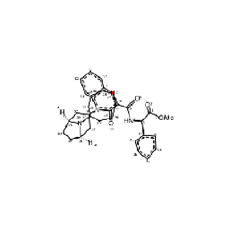 COC(=O)C(NC(=O)c1nc2ccccc2n([C@H]2C[C@H]3CC[C@@H](C2)N3C2CCCCCCC2)c1=O)c1ccccc1